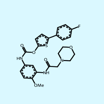 COc1ccc(NC(=O)Oc2ccc(-c3ccc(F)cc3)s2)cc1NC(=O)CN1CCOCC1